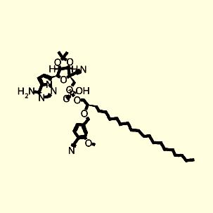 CCCCCCCCCCCCCCCCCCC[C@H](COP(=O)(O)OC[C@@]1(C#N)O[C@@H](c2ccc3c(N)ncnn23)[C@@H]2OC(C)(C)O[C@@H]21)OCc1ccc(C#N)c(OC)c1